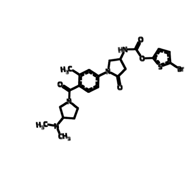 Cc1cc(N2CC(NC(=O)Oc3ccc(Br)s3)CC2=O)ccc1C(=O)N1CCC(N(C)C)C1